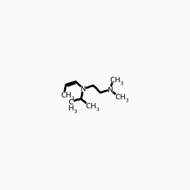 C/C=C\N(CCN(C)C)C(C)C